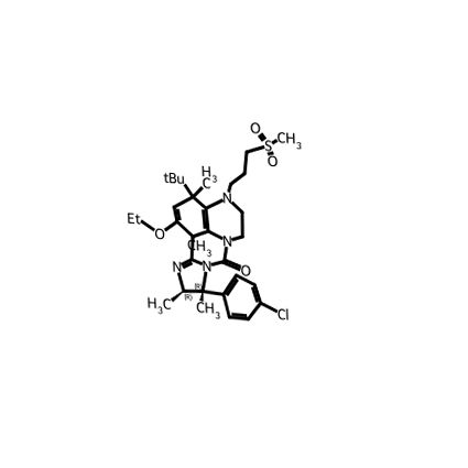 CCOC1=CC(C)(C(C)(C)C)C2=C3N(CCN2CCCS(C)(=O)=O)C(=O)N2C(=N[C@H](C)[C@@]2(C)c2ccc(Cl)cc2)C13C